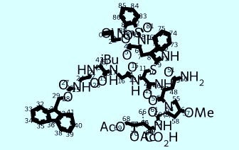 C=CCOC(=O)C(Cc1c(SCC(NC(=O)CNC(=O)[C@@H](NC(=O)CNC(=O)OCC2c3ccccc3-c3ccccc32)[C@@H](C)CC)C(=O)NC(CC(N)=O)C(=O)N2CC(OC)C[C@H]2C(=O)N[C@H](C(=O)O)[C@@H](C)[C@H](COC(C)=O)OC(C)=O)[nH]c2ccccc12)NS(=O)(=O)c1ccccc1[N+](=O)[O-]